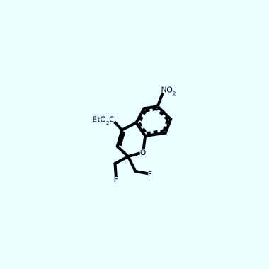 CCOC(=O)C1=CC(CF)(CF)Oc2ccc([N+](=O)[O-])cc21